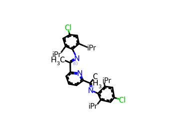 C/C(=N\c1c(C(C)C)cc(Cl)cc1C(C)C)c1cccc(/C(C)=N/c2c(C(C)C)cc(Cl)cc2C(C)C)n1